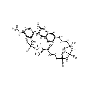 C=C(C)C(=O)OCCC(F)(F)OC(F)(F)OC(F)(F)CCSc1ccc2cc(-c3ccc(OC)cc3OC(F)(F)F)c(=O)oc2c1